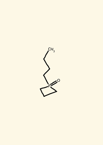 CCCCP1(=O)CCC1